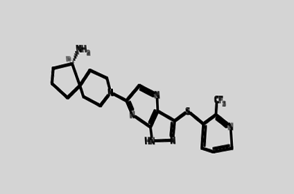 N[C@H]1CCCC12CCN(c1cnc3c(Sc4cccnc4C(F)(F)F)n[nH]c3n1)CC2